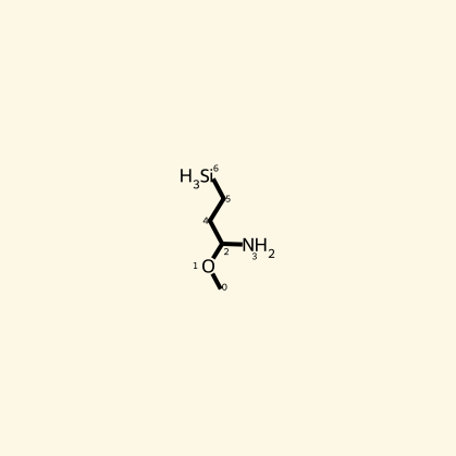 COC(N)CC[SiH3]